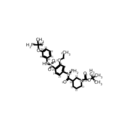 CCOc1cc(N(P)C(=O)C2CCCN(C(=O)OC(C)(C)C)C2)ccc1S(=O)(=O)Nc1cccc(OC(C)(F)P)c1